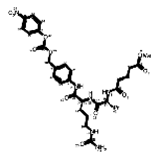 COC(=O)CCCC(=O)N[C@H](C(=O)N[C@@H](CCCNC(N)=O)C(=O)Nc1ccc(COC(=O)Oc2ccc([N+](=O)[O-])cc2)cc1)C(C)C